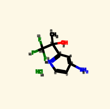 CC(O)(c1cc(N)ccn1)C(F)(F)F.Cl